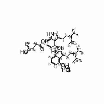 CC(C)N(CCc1c[nH]c2cccc(O)c12)C(C)C.CC(C)N(CCc1c[nH]c2cccc(O)c12)C(C)C.Cl.Cl.O=C(O)CCC(=O)O